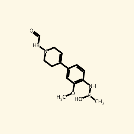 COc1cc(C2=CCN(BC=O)CC2)ccc1NB(C)O